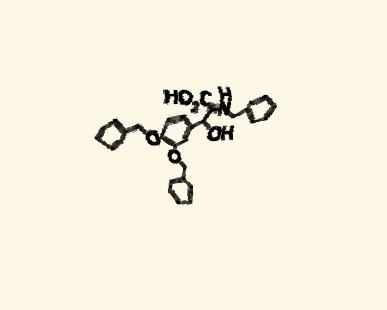 O=C(O)[C@@H](NCc1ccccc1)C(O)c1ccc(OCc2ccccc2)c(OCc2ccccc2)c1